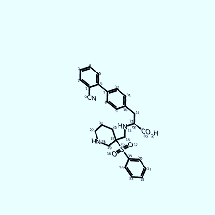 N#Cc1ccccc1-c1ccc(C[C@H](NCC2(S(=O)(=O)c3ccccc3)CCCNC2)C(=O)O)cc1